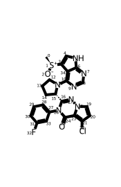 C[S@+]([O-])c1c[nH]c2ncnc(N3CCC[C@H]3c3nn4ccc(Cl)c4c(=O)n3-c3cccc(F)c3)c12